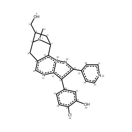 CN1C2CC(CO)C1Cc1cnc3c(-c4ccc(Cl)c(O)c4)c(-c4ccncc4)nn3c12